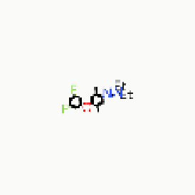 CCN(C=Nc1cc(C)c(Oc2cc(F)cc(F)c2)cc1C)CC